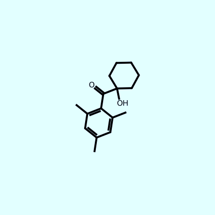 Cc1cc(C)c(C(=O)C2(O)CCCCC2)c(C)c1